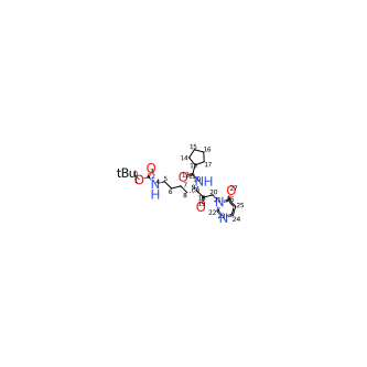 CC(C)(C)OC(=O)NCCCC[C@H](NC(=O)C1CCCC1)C(=O)Cn1cnccc1=O